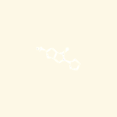 CC1CC2CN(C3CCCC3)C(=O)C2C1